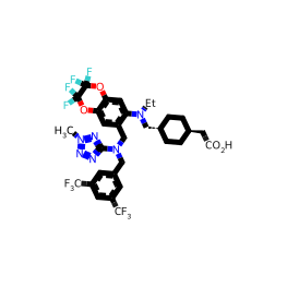 CCN(C[C@H]1CC[C@H](CC(=O)O)CC1)c1cc2c(cc1CN(Cc1cc(C(F)(F)F)cc(C(F)(F)F)c1)c1nnn(C)n1)OC(F)(F)C(F)(F)O2